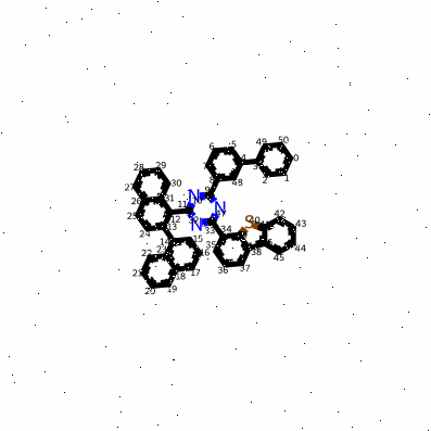 c1ccc(-c2cccc(-c3nc(-c4c(-c5cccc6ccccc56)ccc5ccccc45)nc(-c4cccc5c4sc4ccccc45)n3)c2)cc1